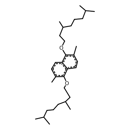 Cc1ccc2c(OCCC(C)CCCC(C)C)c(C)ccc2c1OCCC(C)CCCC(C)C